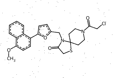 COc1ccc(-c2ccc(CN3C(=O)CSC34CCN(C(=O)CCl)CC4)o2)c2ccccc12